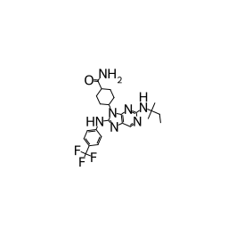 CCC(C)(C)Nc1ncc2nc(Nc3ccc(C(F)(F)F)cc3)n(C3CCC(C(N)=O)CC3)c2n1